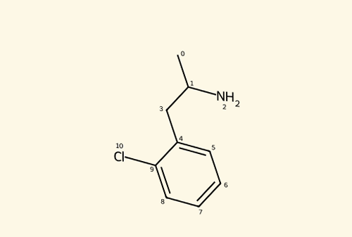 CC(N)Cc1ccccc1Cl